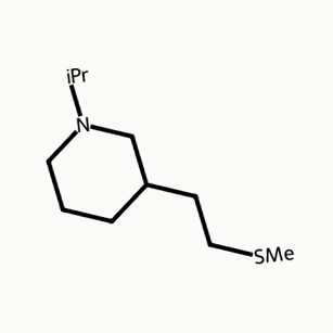 CSCCC1CCCN(C(C)C)C1